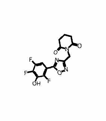 O=C1CCCC(=O)N1Cc1noc(-c2cc(F)c(F)c(O)c2F)n1